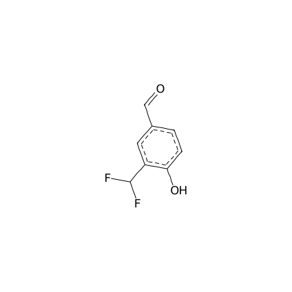 O=Cc1ccc(O)c(C(F)F)c1